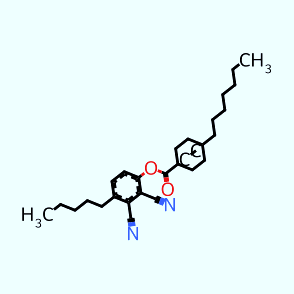 CCCCCCCC12CCC(C(=O)Oc3ccc(CCCCC)c(C#N)c3C#N)(CC1)CC2